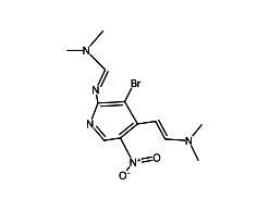 CN(C)C=Cc1c([N+](=O)[O-])cnc(N=CN(C)C)c1Br